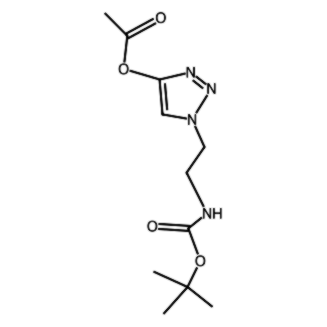 CC(=O)Oc1cn(CCNC(=O)OC(C)(C)C)nn1